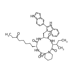 CCC(=O)CCCCC[C@@H]1NC(=O)[C@H]2CCCCN2C(=O)[C@H]([C@H](C)CC)NC(=O)[C@H](Cc2c(-c3ccc4[nH]ccc4c3)[nH]c3ccccc23)NC1=O